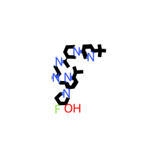 CC(C)c1ccc(N2CC[C@@H](F)[C@@H](O)C2)c(CN(C)CCN(C)C(C)[C@H]2CCCN(c3ccc(C(C)(C)C)nc3)C2)n1